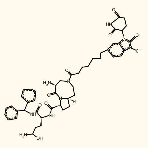 Cn1c(=O)n(C2CCC(=O)NC2=O)c2cc(CCCCCCC(=O)N3CC[C@H]4CC[C@@H](C(=O)N[C@@H](CCC(N)O)C(=O)NC(c5ccccc5)c5ccccc5)N4C(=O)[C@@H](N)C3)ccc21